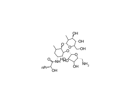 CCC[C@H](O)C(=O)N[C@@H]1CC(C)[C@@H](O[C@H]2OC(CO)[C@@H](O)[C@H](O)C2C)C(O[C@@H]2O[C@H](CN)C(O)[C@@H]2O)[C@@H]1O